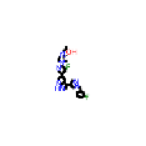 CC(O)CN1CCN(c2ncc(-c3cnc4[nH]cc(-c5cnn(Cc6cccc(F)c6)c5)c4c3)cc2F)CC1